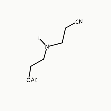 CC(=O)OCCN(I)CCC#N